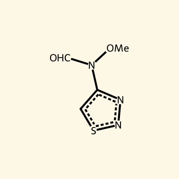 CON(C=O)c1csnn1